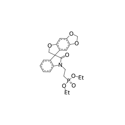 CCOP(=O)(CCN1C(=O)C2(COc3cc4c(cc32)OCO4)c2ccccc21)OCC